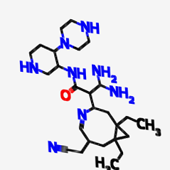 CCC12CC(CC#N)/C=N\C(C(C(=O)NC3CNCCC3N3CCNCC3)C(N)N)CC1(CC)C2